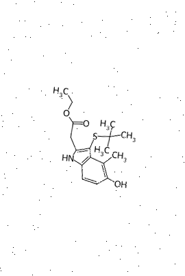 CCOC(=O)Cc1[nH]c2ccc(O)c(C)c2c1SC(C)(C)C